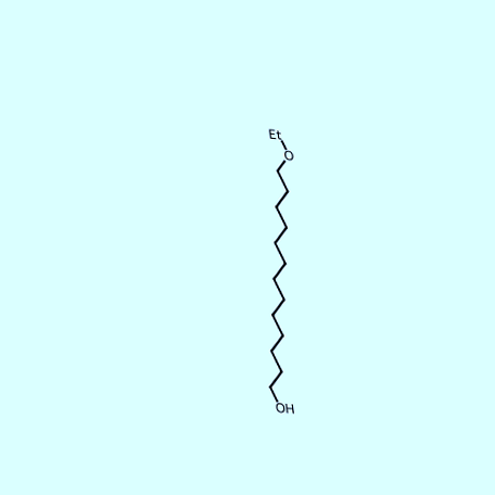 [CH2]COCCCCCCCCCCCCCO